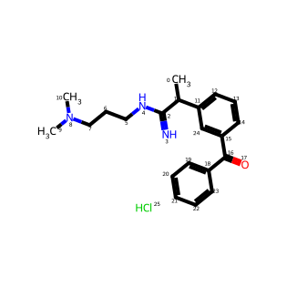 CC(C(=N)NCCCN(C)C)c1cccc(C(=O)c2ccccc2)c1.Cl